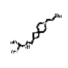 CCCC(CCC)NCCC1CC2(CCN(CCC(C)CC)CC2)C1